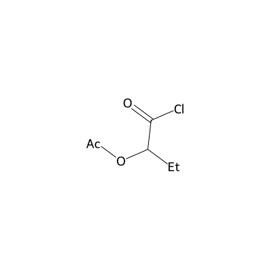 CCC(OC(C)=O)C(=O)Cl